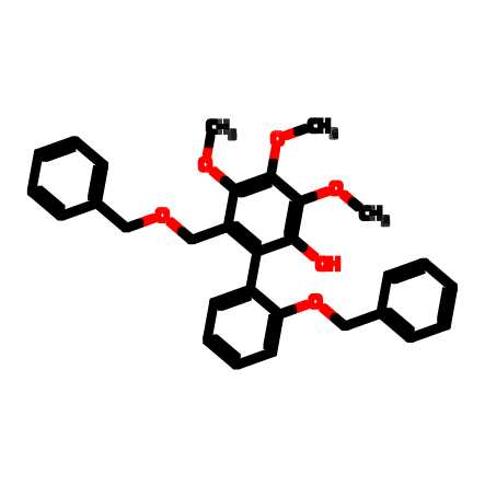 COc1c(O)c(-c2ccccc2OCc2ccccc2)c(COCc2ccccc2)c(OC)c1OC